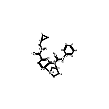 O=C(NCC1CC1)c1ccc2c(n1)N(C(=O)Oc1ccccc1)C1CCN2C1